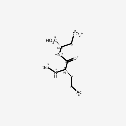 CC(=O)CC[C@H](NC(C)(C)C)C(=O)N[C@@H](CC(=O)O)C(=O)O